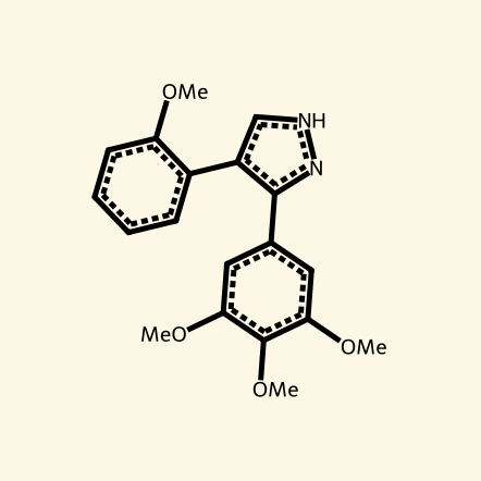 COc1ccccc1-c1c[nH]nc1-c1cc(OC)c(OC)c(OC)c1